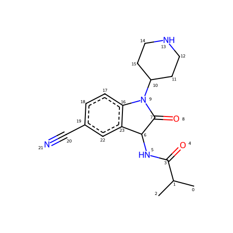 CC(C)C(=O)NC1C(=O)N(C2CCNCC2)c2ccc(C#N)cc21